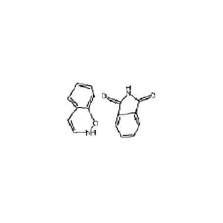 C1=Cc2ccccc2ON1.O=C1NC(=O)c2ccccc21